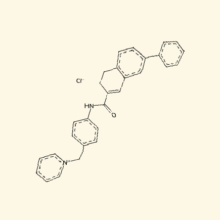 O=C(Nc1ccc(C[n+]2ccccc2)cc1)C1=Cc2cc(-c3ccccc3)ccc2CC1.[Cl-]